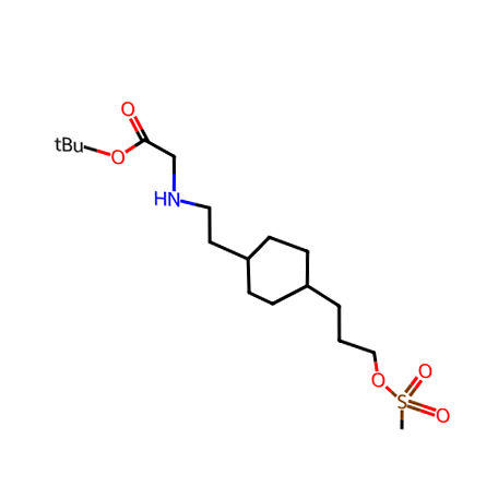 CC(C)(C)OC(=O)CNCCC1CCC(CCCOS(C)(=O)=O)CC1